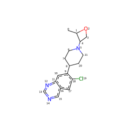 CC1OCC1N1CCC(c2cc3ncncc3cc2Cl)CC1